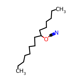 CCCCCCCCC(CCCCCC)OC#N